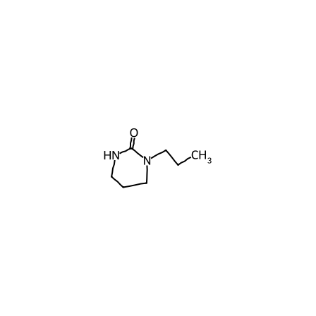 CCCN1CCCNC1=O